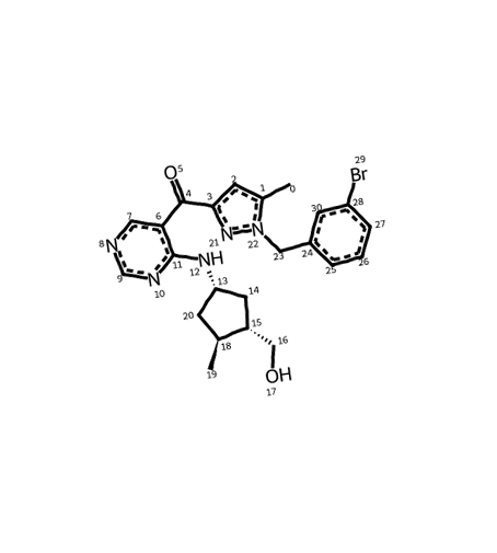 Cc1cc(C(=O)c2cncnc2N[C@@H]2C[C@H](CO)[C@@H](C)C2)nn1Cc1cccc(Br)c1